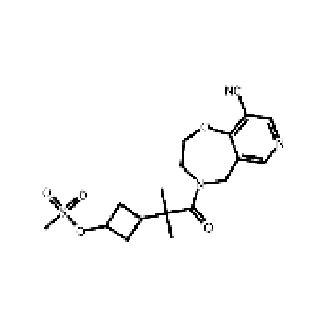 CC(C)(C(=O)N1CCOc2c(C#N)cncc2C1)C1CC(OS(C)(=O)=O)C1